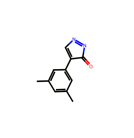 Cc1cc(C)cc(C2=CN=NC2=O)c1